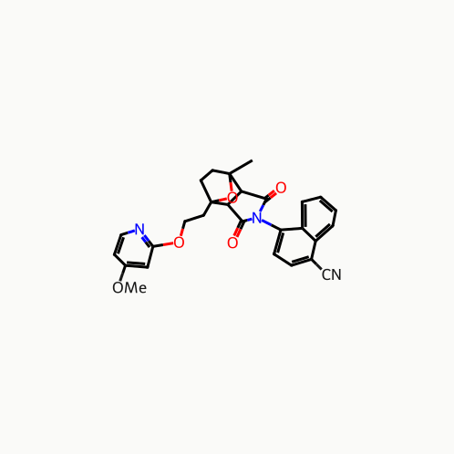 COc1ccnc(OCCC23CCC(C)(O2)C2C(=O)N(c4ccc(C#N)c5ccccc45)C(=O)C23)c1